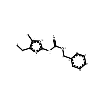 CCc1nc(SC(=O)OCc2ccccc2)sc1C